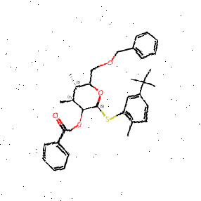 Cc1ccc(C(C)(C)C)cc1S[C@@H]1OC(COCc2ccccc2)[C@@H](C)[C@H](C)C1OC(=O)c1ccccc1